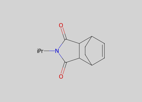 CC(C)N1C(=O)C2C3C=CC(CC3)C2C1=O